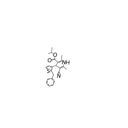 CC1=C(C#N)C(c2ccsc2Cc2ccccc2)C(C(=O)OC(C)C)=C(C)N1